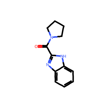 O=C(c1nc2ccccc2[nH]1)N1CCCC1